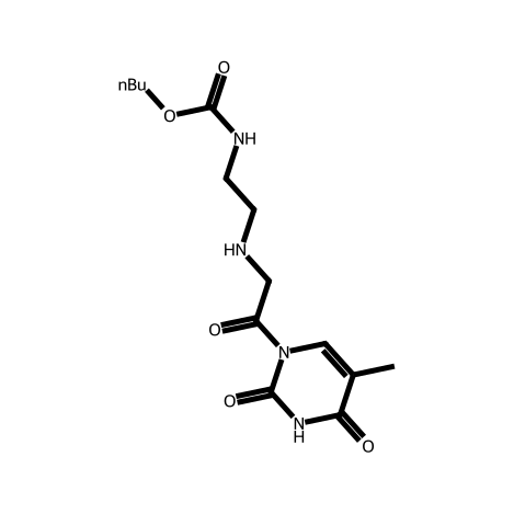 CCCCOC(=O)NCCNCC(=O)n1cc(C)c(=O)[nH]c1=O